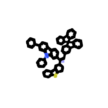 C(=C(\c1ccc2sc3ccccc3c2c1)c1ccc2c3ccc(-c4ccccc4)cc3n(-c3ccccc3)c2c1)/c1ccc2c(c1)-c1ccccc1C21c2ccccc2-c2ccccc21